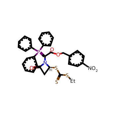 CCSC(=S)S[C@H]1CC(=O)N1C(C(=O)OCc1ccc([N+](=O)[O-])cc1)=P(c1ccccc1)(c1ccccc1)c1ccccc1